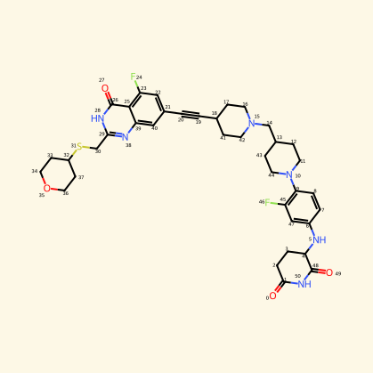 O=C1CCC(Nc2ccc(N3CCC(CN4CCC(C#Cc5cc(F)c6c(=O)[nH]c(CSC7CCOCC7)nc6c5)CC4)CC3)c(F)c2)C(=O)N1